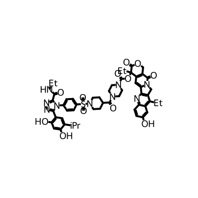 CCNC(=O)c1nnc(-c2cc(C(C)C)c(O)cc2O)n1-c1ccc(S(=O)(=O)N2CCC(C(=O)N3CCN(C(=O)OC4(CC)C(=O)OCc5c4cc4n(c5=O)Cc5c-4nc4ccc(O)cc4c5CC)CC3)CC2)cc1